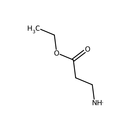 CCOC(=O)CC[NH]